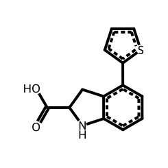 O=C(O)C1Cc2c(cccc2-c2cccs2)N1